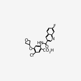 O=C(Nc1cc(OC2COC2)c(Cl)cc1C(=O)O)c1cnc2cc(F)ccc2c1